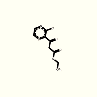 CCOC(=O)CC(=O)c1nccnc1Cl